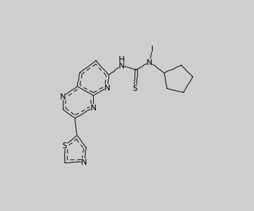 S=C(Nc1ccc2ncc(-c3cncs3)nc2n1)N(I)C1CCCC1